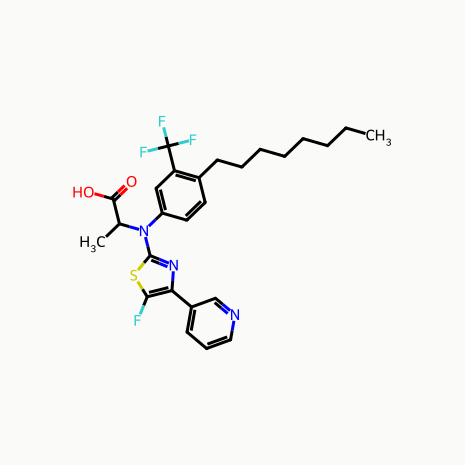 CCCCCCCCc1ccc(N(c2nc(-c3cccnc3)c(F)s2)C(C)C(=O)O)cc1C(F)(F)F